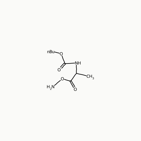 CCCCOC(=O)NC(C)C(=O)ON